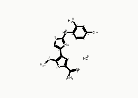 CSc1sc(C(=N)N)cc1-c1csc(Nc2ccc(Cl)cc2C)n1.Cl